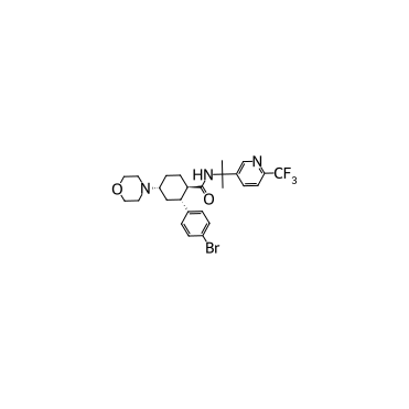 CC(C)(NC(=O)[C@@H]1CC[C@@H](N2CCOCC2)C[C@H]1c1ccc(Br)cc1)c1ccc(C(F)(F)F)nc1